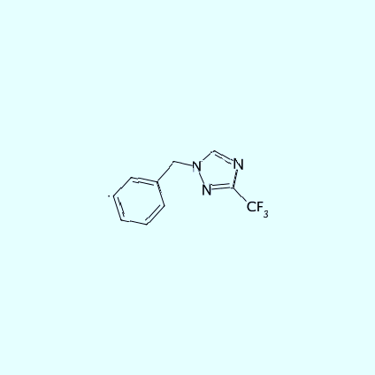 FC(F)(F)c1ncn(Cc2c[c]ccc2)n1